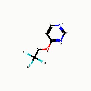 FC(F)(F)COc1ccn[c]n1